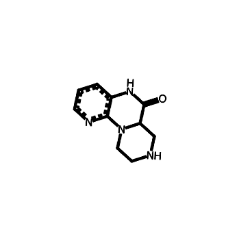 O=C1Nc2cccnc2N2CCNCC12